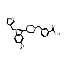 COc1ccc2c(c1)c(C1CCN(Cc3cccc(C(=O)O)c3)CC1)cn2Cc1ccoc1